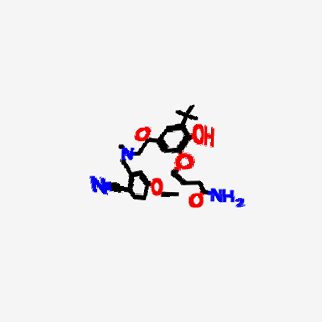 CCOc1ccc(C#N)c(CN(C)CC(=O)c2cc(OCCCC(N)=O)c(O)c(C(C)(C)C)c2)c1